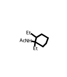 CCC1CCCCC1(CC)NC(C)=O